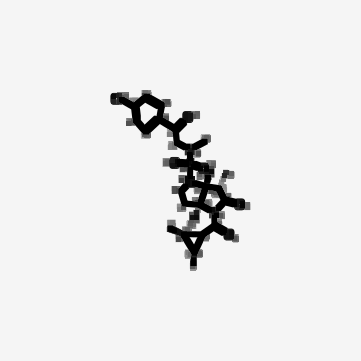 C[C@@H]1C(=O)N(C(=O)C2[C@@H](C)[C@H]2C)[C@H]2CCN(S(=O)(=O)N(C)CC(=O)c3ccc(Cl)cc3)[C@H]12